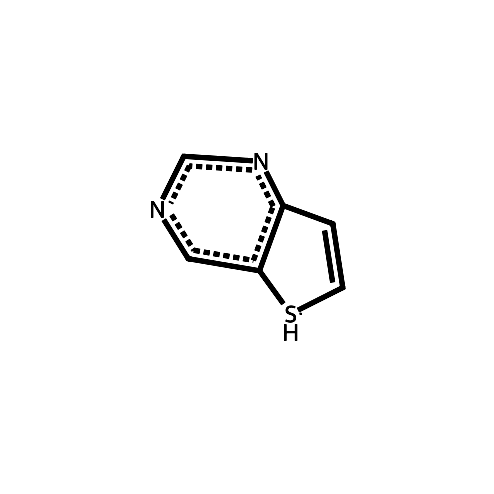 C1=Cc2ncncc2[SH]1